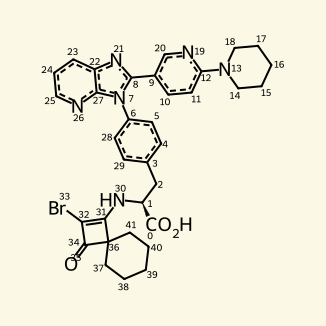 O=C(O)[C@H](Cc1ccc(-n2c(-c3ccc(N4CCCCC4)nc3)nc3cccnc32)cc1)NC1=C(Br)C(=O)C12CCCCC2